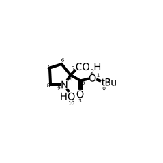 CC(C)(C)OC(=O)C1(C(=O)O)CCCN1O